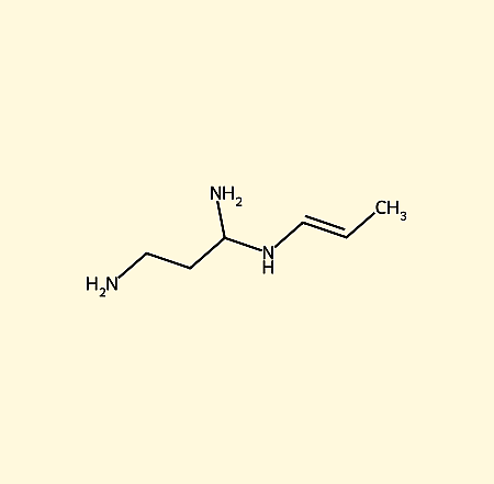 CC=CNC(N)CCN